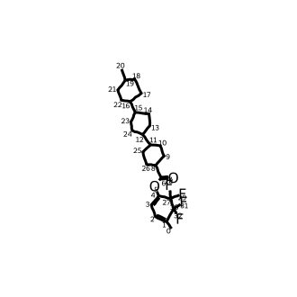 CC1=CC=C(OC(=O)C2CCC(C3CCC(C4CCC(C)CC4)CC3)CC2)C(F)(F)C1(F)F